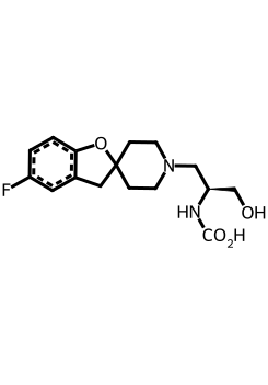 O=C(O)N[C@H](CO)CN1CCC2(CC1)Cc1cc(F)ccc1O2